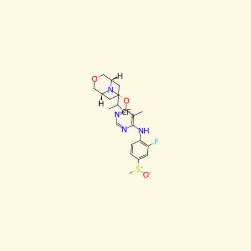 Cc1c(Nc2ccc([S+](C)[O-])cc2F)ncnc1O[C@H]1C[C@H]2COC[C@@H](C1)N2CC(C)C(F)(F)F